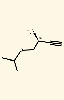 C#C[C@H](N)COC(C)C